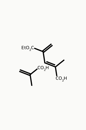 C=C(C)C(=O)O.C=C(C=C(C)C(=O)O)C(=O)OCC